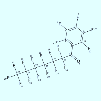 O=C(c1c(F)c(F)c(F)c(F)c1F)C(F)(F)C(F)(F)C(F)(F)C(F)(F)C(F)(F)C(F)(F)F